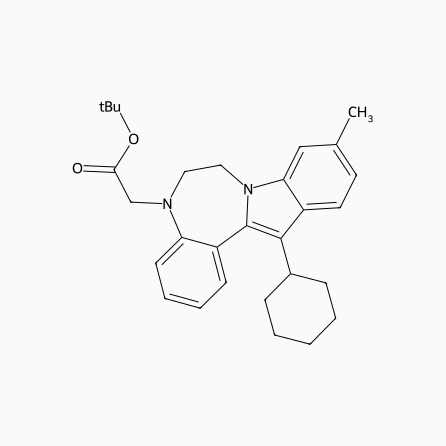 Cc1ccc2c(C3CCCCC3)c3n(c2c1)CCN(CC(=O)OC(C)(C)C)c1ccccc1-3